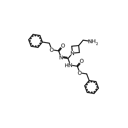 NCC1CN(C(=NC(=O)OCc2ccccc2)NC(=O)OCc2ccccc2)C1